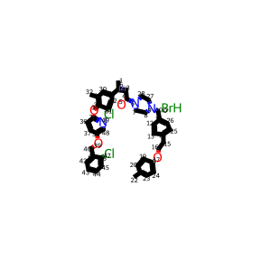 Br.C/C(=C/C(=O)N1CCN(Cc2ccc(CCOc3ccc(C)cc3)cc2)CC1)c1cc(C)c(Oc2ccc(OCc3ccccc3Cl)cn2)c(Cl)c1